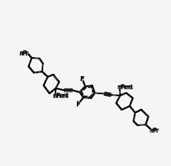 CCCCCC1(C#Cc2cc(F)c(C#CC3(CCCCC)CCC(C4CCC(CCC)CC4)CC3)c(F)c2)CCC(C2CCC(CCC)CC2)CC1